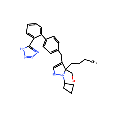 CCCCC1(CO)C(Cc2ccc(-c3ccccc3-c3nnn[nH]3)cc2)=CNN1C1CCC1